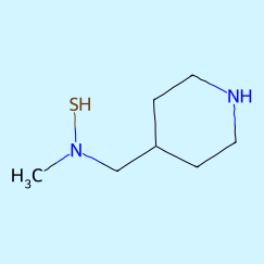 CN(S)CC1CCNCC1